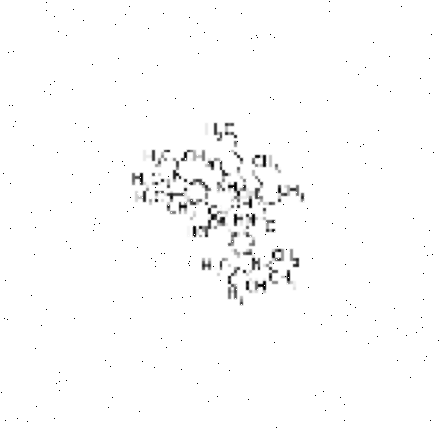 CCCCC(CC)C(=O)Nc1cc2c(cc1-c1c(O)[c+](-c3cc4c(cc3NC(=O)C(CC)CCCC)N(C(C)C)C(C)C4(C)C)[c+]1O)C(C)(C)C(C)N2C(C)C